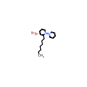 CCCCCCCc1cccc[n+]1-[n+]1ccccc1.[Br-].[Br-]